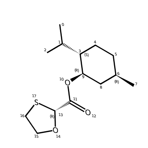 CC(C)[C@@H]1CC[C@@H](C)C[C@H]1OC(=O)[C@@H]1OCCS1